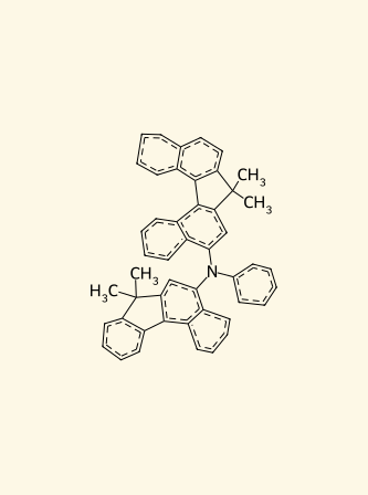 CC1(C)c2ccccc2-c2c1cc(N(c1ccccc1)c1cc3c(c4ccccc14)-c1c(ccc4ccccc14)C3(C)C)c1ccccc21